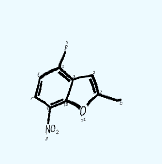 Cc1cc2c(F)ccc([N+](=O)[O-])c2o1